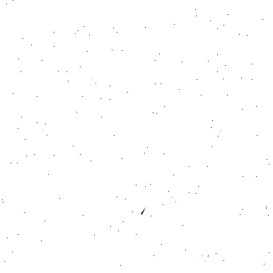 COCC(=O)N1c2cc(C)ccc2[C@@H](Oc2ccc(Nc3ccc(F)cc3)c(C=N)c2)[C@@H]1C